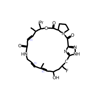 CC1=C\C(O)CC(F)Cc2nc(n[nH]2)C(=O)N2CCCC2C(=O)OC(C(C)C)C(C)/C=C/C(=O)NC\C=C\1